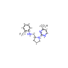 O=C(O)c1ccnc(N2CCCC2CNc2ccccc2C(F)(F)F)n1